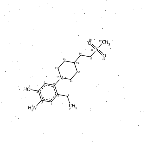 CCc1cc(N)c(O)cc1N1CCC(CCS(C)(=O)=O)CC1